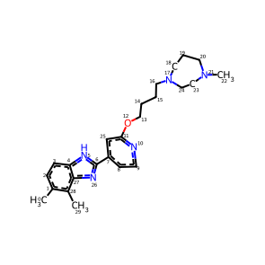 Cc1ccc2[nH]c(-c3ccnc(OCCCCN4CCCN(C)CC4)c3)nc2c1C